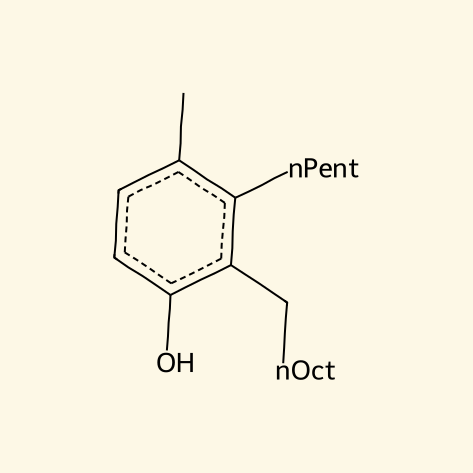 CCCCCCCCCc1c(O)ccc(C)c1CCCCC